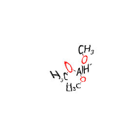 C[O][AlH-]([O]C)[O]C.[Li+]